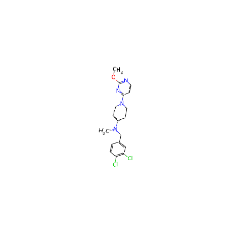 COc1nccc(N2CCC(N(C)Cc3ccc(Cl)c(Cl)c3)CC2)n1